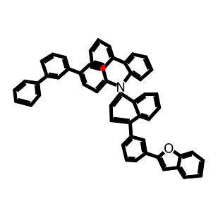 c1ccc(-c2cccc(-c3ccc(N(c4ccccc4-c4ccccc4)c4ccc(-c5cccc(-c6cc7ccccc7o6)c5)c5ccccc45)cc3)c2)cc1